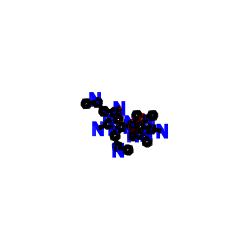 N#Cc1cccc(-c2c(-n3c4ccccc4c4cc(-c5ccnc(-c6ccccc6)c5)ccc43)cc(C#N)cc2-n2c3ccc(-c4ccnc(-c5ccccc5)c4)cc3c3cc(-c4cc(-c5ccc6c7ccccc7n(-c7cc(C#N)cc(-n8c9ccccc9c9ccc(-c%10ccnc(-c%11ccccc%11)c%10)cc98)c7-c7cccc(C#N)c7)c6c5)cc(-c5ccccc5)n4)ccc32)c1